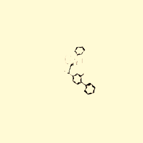 CC(C(=O)Nc1ccccc1)c1ccc(-c2ccccc2)c(F)c1